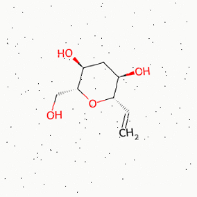 C=C[C@@H]1O[C@H](CO)[C@@H](O)C[C@H]1O